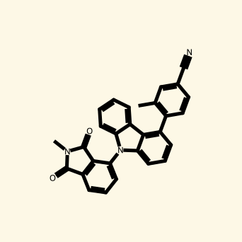 Cc1cc(C#N)ccc1-c1cccc2c1c1ccccc1n2-c1cccc2c1C(=O)N(C)C2=O